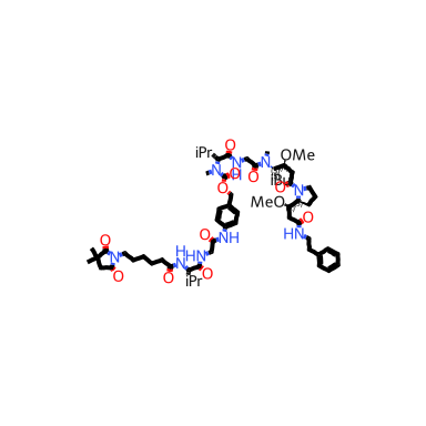 CC[C@H](C)[C@@H]([C@@H](CC(=O)N1CCC[C@H]1[C@@H](CC(=O)NCCc1ccccc1)OC)OC)N(C)C(=O)CNC(=O)C(C(C)C)N(C)C(=O)OCc1ccc(NC(=O)CNC(=O)C(NC(=O)CCCCCN2C(=O)CC(C)(C)C2=O)C(C)C)cc1